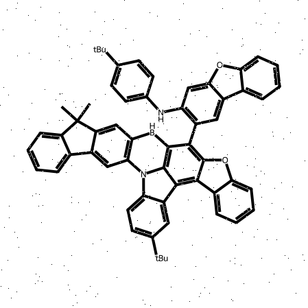 CC(C)(C)c1ccc(Nc2cc3oc4ccccc4c3cc2-c2c3c4c(c5cc(C(C)(C)C)ccc5n4-c4cc5c(cc4B3)C(C)(C)c3ccccc3-5)c3c2oc2ccccc23)cc1